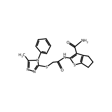 Cc1nnc(SCC(=O)Nc2sc3c(c2C(N)=O)CCC3)n1-c1ccccc1